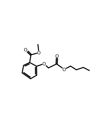 CCCCOC(=O)COc1ccccc1C(=O)OC